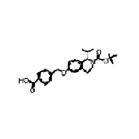 CC(C)[C@H]1c2ccc(OCc3ccc(C(=O)O)cc3)cc2CCN1C(=O)OC(C)(C)C